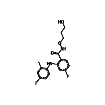 Cc1cc(I)ccc1Nc1cc(F)ccc1C(=O)NOCCCO